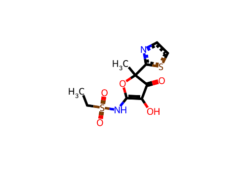 CCS(=O)(=O)NC1=C(O)C(=O)C(C)(c2nccs2)O1